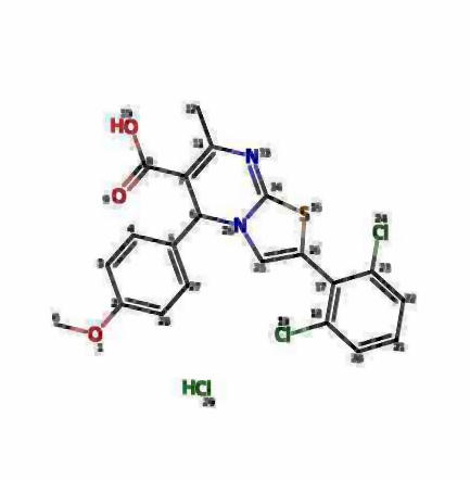 COc1ccc(C2C(C(=O)O)=C(C)N=C3SC(c4c(Cl)cccc4Cl)=CN32)cc1.Cl